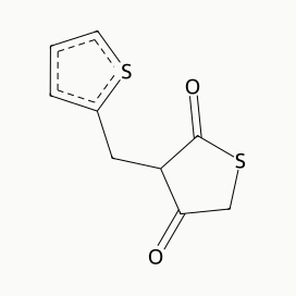 O=C1CSC(=O)C1Cc1cccs1